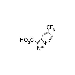 O=C(O)c1ncn2ccc(C(F)(F)F)cc12